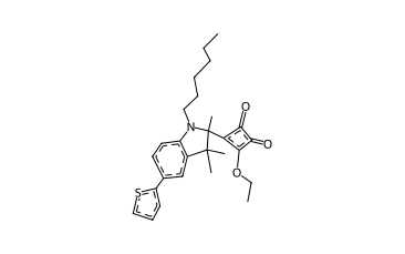 CCCCCCN1c2ccc(-c3cccs3)cc2C(C)(C)C1(C)c1c(OCC)c(=O)c1=O